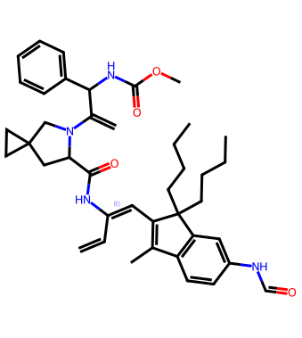 C=C/C(=C\C1=C(C)c2ccc(NC=O)cc2C1(CCCC)CCCC)NC(=O)C1CC2(CC2)CN1C(=C)C(NC(=O)OC)c1ccccc1